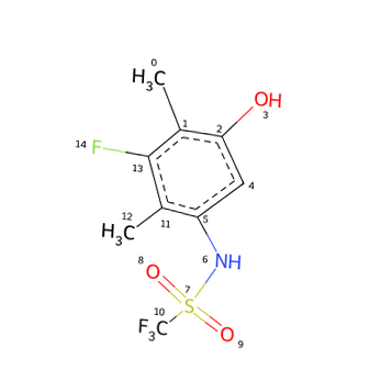 Cc1c(O)cc(NS(=O)(=O)C(F)(F)F)c(C)c1F